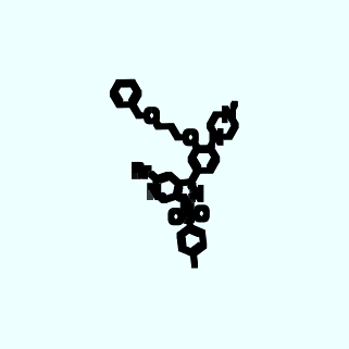 Cc1ccc(S(=O)(=O)n2nc(-c3ccc(N4CCN(C)CC4)c(OCCCOCc4ccccc4)c3)c3cc(Br)ncc32)cc1